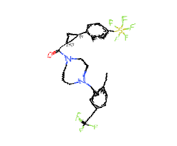 Cc1ccc(C(F)(F)F)cc1N1CCN(C(=O)[C@H]2C[C@H]2c2ccc(S(F)(F)(F)(F)F)cc2)CC1